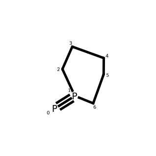 P#P1CCCCC1